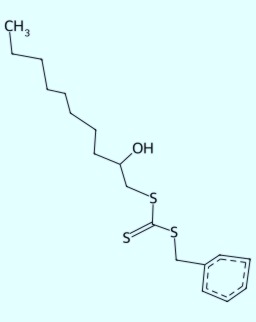 CCCCCCCCC(O)CSC(=S)SCc1ccccc1